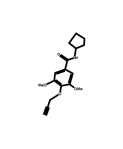 C#CCOc1c(OC)cc(C(=O)NC2CCCC2)cc1OC